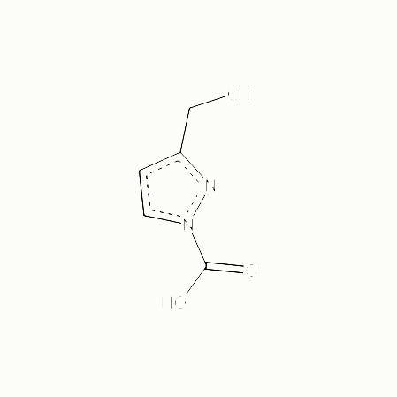 CCc1ccn(C(=O)O)n1